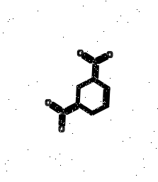 O=S(=O)=C1C=CCC(=S(=O)=O)C1